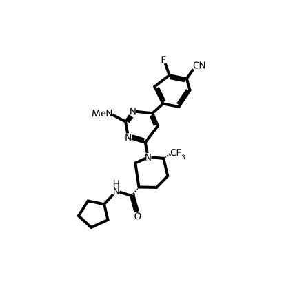 CNc1nc(-c2ccc(C#N)c(F)c2)cc(N2C[C@@H](C(=O)NC3CCCC3)CC[C@H]2C(F)(F)F)n1